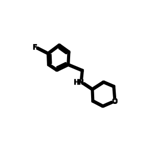 Fc1ccc(CNC2CCOCC2)cc1